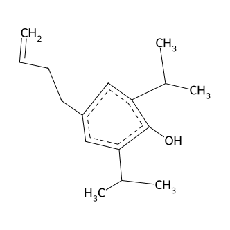 C=CCCc1cc(C(C)C)c(O)c(C(C)C)c1